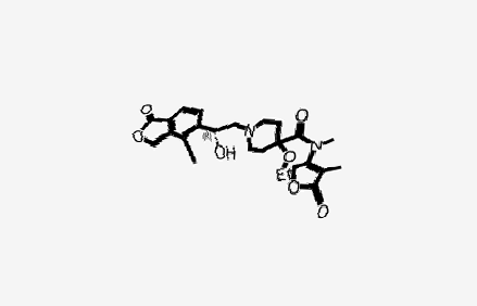 CCOC1(C(=O)N(C)C2=C(C)C(=O)OC2)CCN(C[C@H](O)c2ccc3c(c2C)COC3=O)CC1